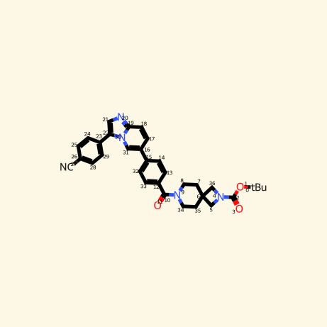 CC(C)(C)OC(=O)N1CC2(CCN(C(=O)c3ccc(-c4ccc5ncc(-c6ccc(C#N)cc6)n5c4)cc3)CC2)C1